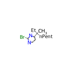 CCCCCC(C)(CC)c1ccnc(Br)n1